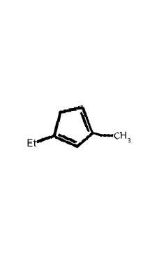 CCC1=CC(C)=CC1